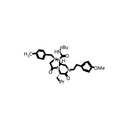 CCCCNC(=O)N1[C@H]2CN(CCc3ccc(OC)cc3)C(=O)[C@H](CC(C)C)N2C(=O)CN1Cc1ccc(C)cc1